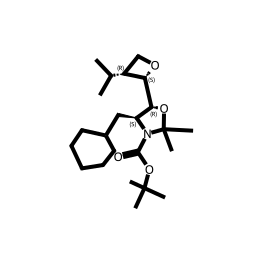 CC(C)[C@@H]1CO[C@@H]1[C@@H]1OC(C)(C)N(C(=O)OC(C)(C)C)[C@H]1CC1CCCCC1